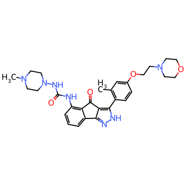 Cc1cc(OCCN2CCOCC2)ccc1-c1[nH]nc2c1C(=O)c1c(NC(=O)NN3CCN(C)CC3)cccc1-2